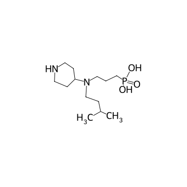 CC(C)CCN(CCCP(=O)(O)O)C1CCNCC1